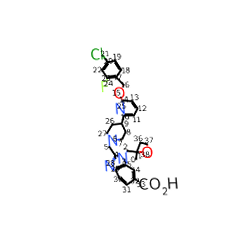 CC1(Cn2c(CN3CCC(c4cccc(OCc5ccc(Cl)cc5F)n4)CC3)nc3ccc(C(=O)O)cc32)CCO1